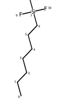 CCCCCCC[Si](C)(F)F